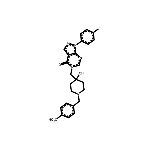 O=C(O)c1ccc(CN2CCC(O)(Cn3cnc4c(cnn4-c4ccc(F)cc4)c3=O)CC2)cc1